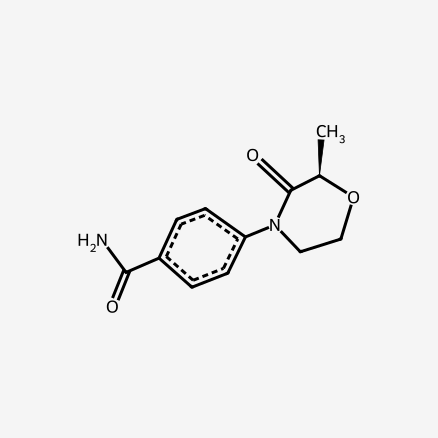 C[C@H]1OCCN(c2ccc(C(N)=O)cc2)C1=O